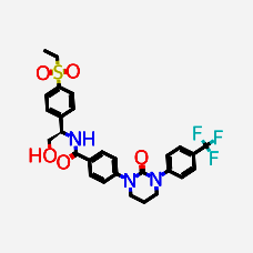 CCS(=O)(=O)c1ccc([C@H](CO)NC(=O)c2ccc(N3CCCN(c4ccc(C(F)(F)F)cc4)C3=O)cc2)cc1